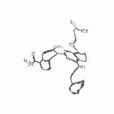 CCN(CC)CCO[C@H]1CCCc2c(NCc3ccccc3)nc(N3C(C)=CC4C(C(N)=O)=CC=CC43)nc21